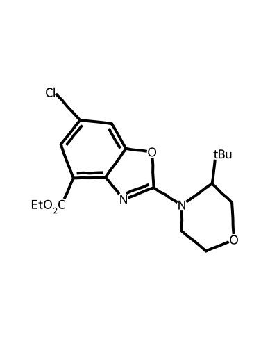 CCOC(=O)c1cc(Cl)cc2oc(N3CCOCC3C(C)(C)C)nc12